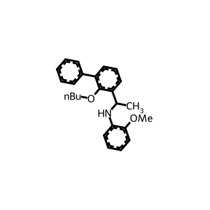 CCCCOc1c(-c2ccccc2)cccc1C(C)Nc1ccccc1OC